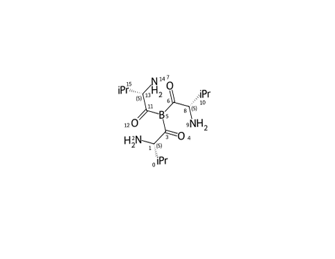 CC(C)[C@H](N)C(=O)B(C(=O)[C@@H](N)C(C)C)C(=O)[C@@H](N)C(C)C